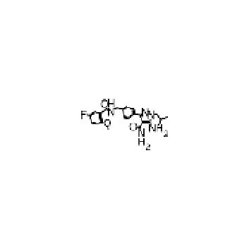 COc1ccc(F)cc1C(=O)NCc1ccc(-c2nn(CC(C)C)c(N)c2C(N)=O)cc1